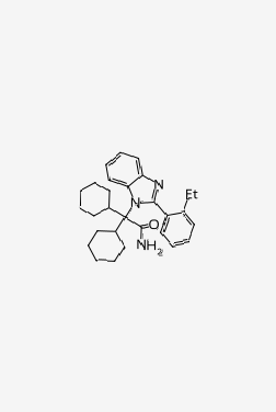 CCc1ccccc1-c1nc2ccccc2n1C(C(N)=O)(C1CCCCC1)C1CCCCC1